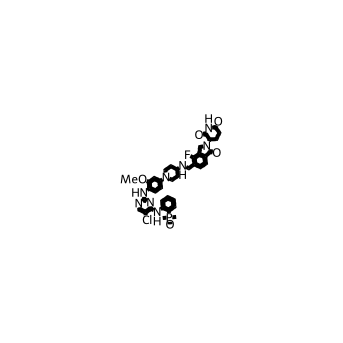 COc1cc(N2CCC(NCc3ccc4c(c3F)CN(C3CCC(=O)NC3=O)C4=O)CC2)ccc1Nc1ncc(Cl)c(Nc2ccccc2P(C)(C)=O)n1